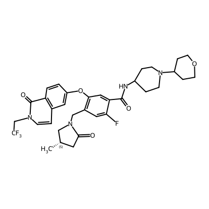 C[C@H]1CC(=O)N(Cc2cc(F)c(C(=O)NC3CCN(C4CCOCC4)CC3)cc2Oc2ccc3c(=O)n(CC(F)(F)F)ccc3c2)C1